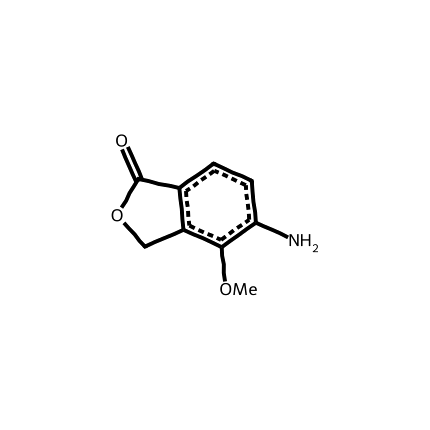 COc1c(N)ccc2c1COC2=O